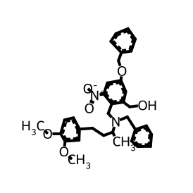 COc1ccc(CCC(C)N(Cc2ccccc2)Cc2c(CO)cc(OCc3ccccc3)cc2[N+](=O)[O-])cc1OC